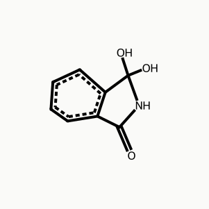 O=C1NC(O)(O)c2ccccc21